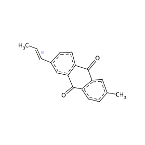 C/C=C/c1ccc2c(c1)C(=O)c1ccc(C)cc1C2=O